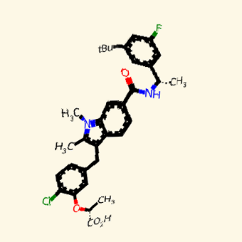 Cc1c(Cc2ccc(Cl)c(O[C@H](C)C(=O)O)c2)c2ccc(C(=O)N[C@@H](C)c3cc(F)cc(C(C)(C)C)c3)cc2n1C